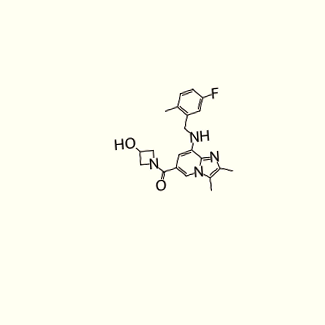 Cc1ccc(F)cc1CNc1cc(C(=O)N2CC(O)C2)cn2c(C)c(C)nc12